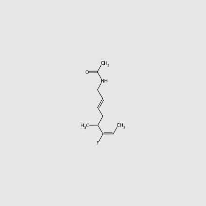 C/C=C(/F)C(C)C/C=C/CNC(C)=O